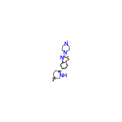 C[C@H]1CC[C@H](c2ccc3sc(N4CCN(C)CC4)nc3c2)NC1